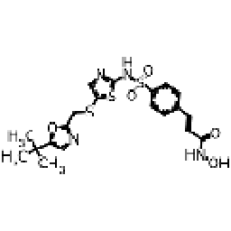 CC(C)(C)c1cnc(CSc2cnc(NS(=O)(=O)c3ccc(C=CC(=O)NO)cc3)s2)o1